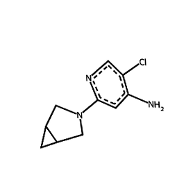 Nc1cc(N2CC3CC3C2)ncc1Cl